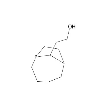 OCCC1C2CCCCP1CC2